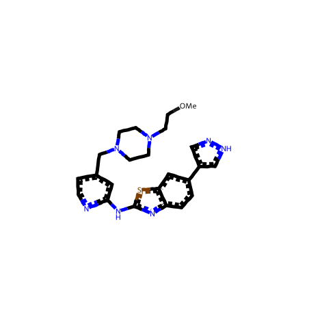 COCCN1CCN(Cc2ccnc(Nc3nc4ccc(-c5cn[nH]c5)cc4s3)c2)CC1